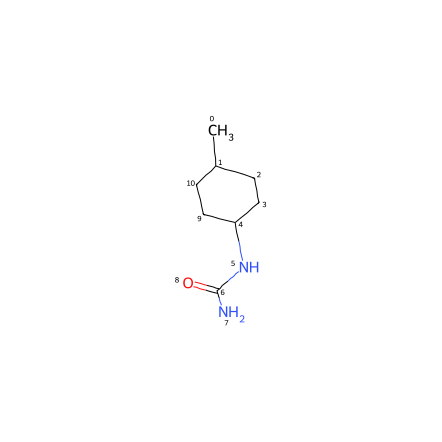 CC1CCC(NC(N)=O)CC1